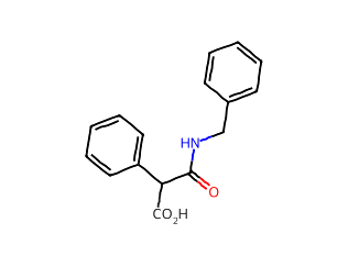 O=C(O)C(C(=O)NCc1ccccc1)c1ccccc1